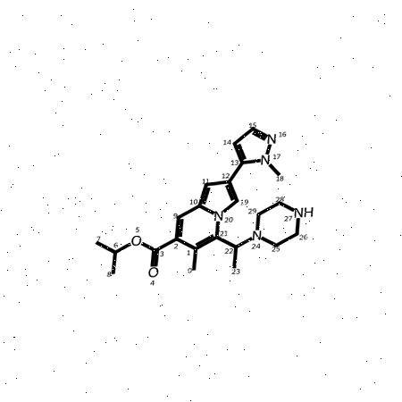 Cc1c(C(=O)OC(C)C)cc2cc(-c3ccnn3C)cn2c1C(C)N1CCNCC1